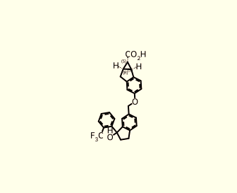 O=C(O)[C@H]1[C@@H]2Cc3cc(OCc4ccc5c(c4)C(O)(c4ccccc4C(F)(F)F)CC5)ccc3[C@@H]21